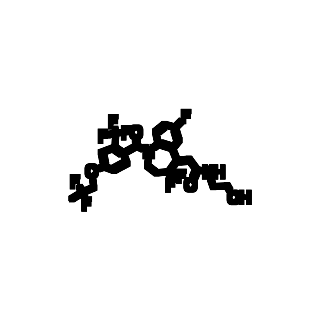 CC(F)(F)COc1ccc(C(=O)N2CCC(F)(F)/C(=C\C(=O)NCCO)c3cc(F)ccc32)c(C(F)(F)F)c1